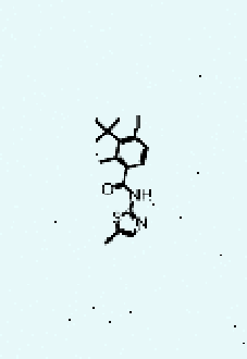 Cc1cnc(NC(=O)c2ccc(I)c(C(C)(C)C)c2C)s1